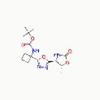 C[C@H]1OC(=O)N[C@@H]1c1nnc(C2(NC(=O)OC(C)(C)C)CCC2)o1